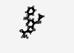 NC(=O)c1cnc2c(NC3CC3)cc(Nc3ccccc3)nn12